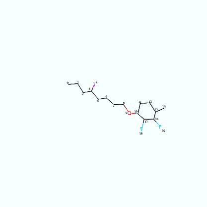 CCCC(I)CCCCOC1CCC(C)C(F)C1F